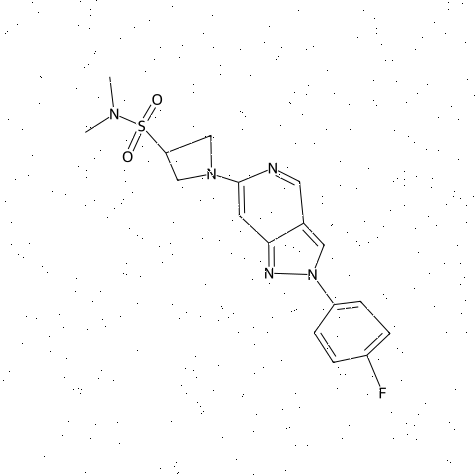 CN(C)S(=O)(=O)C1CN(c2cc3nn(-c4ccc(F)cc4)cc3cn2)C1